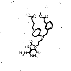 COC(=O)Cc1cccc(CN(CCCN2C(=N)C(=C(N)N)NC2=O)C2CCN(CCCC(=O)O)CC2)c1